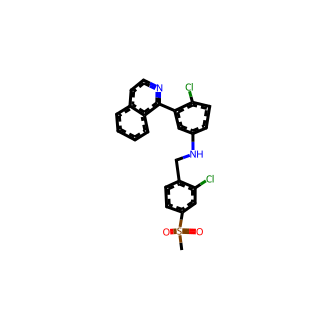 CS(=O)(=O)c1ccc(CNc2ccc(Cl)c(-c3nccc4ccccc34)c2)c(Cl)c1